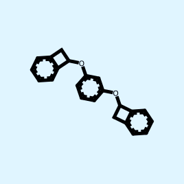 c1cc(OC2Cc3ccccc32)cc(OC2Cc3ccccc32)c1